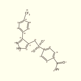 CCCC(=O)c1ccc(S(=O)(=O)Cc2c[nH]nc2-c2ccc(C(F)(F)F)cc2)cc1